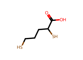 O=C(O)C(S)CCCS